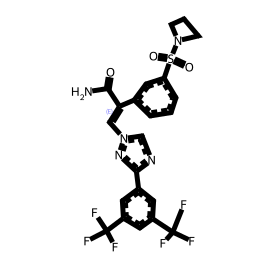 NC(=O)/C(=C/n1cnc(-c2cc(C(F)(F)F)cc(C(F)(F)F)c2)n1)c1cccc(S(=O)(=O)N2CCC2)c1